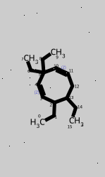 CCC1/C=C\C(CC)(CC)/C=C\CC1CC